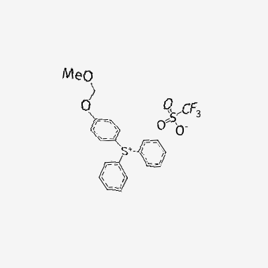 COCOc1ccc([S+](c2ccccc2)c2ccccc2)cc1.O=S(=O)([O-])C(F)(F)F